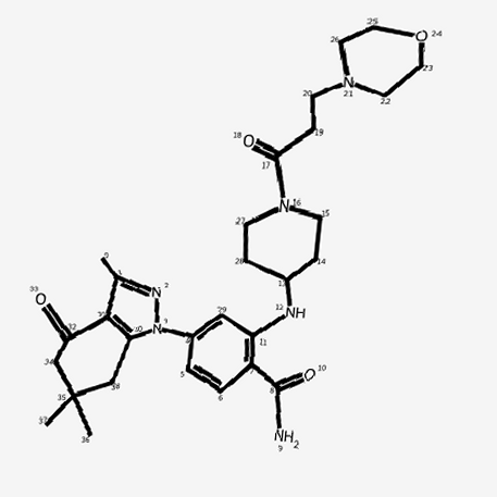 Cc1nn(-c2ccc(C(N)=O)c(NC3CCN(C(=O)CCN4CCOCC4)CC3)c2)c2c1C(=O)CC(C)(C)C2